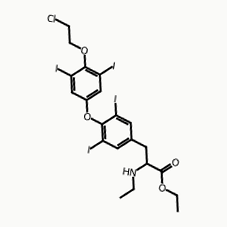 CCNC(Cc1cc(I)c(Oc2cc(I)c(OCCCl)c(I)c2)c(I)c1)C(=O)OCC